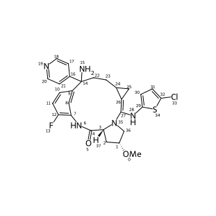 CO[C@@H]1C[C@@H]2C(=O)Nc3cc(ccc3F)C(N)(c3ccncc3)CCC3C/C3=C(\Nc3ccc(Cl)s3)N2C1